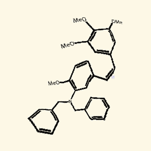 COc1ccc(/C=C\c2cc(OC)c(OC)c(OC)c2)cc1N(Cc1ccccc1)Cc1ccccc1